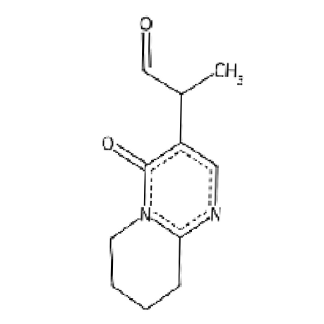 CC(C=O)c1cnc2n(c1=O)CCCC2